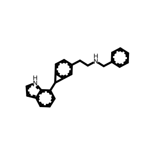 c1ccc(CNCCc2ccc3c(c2)C3c2cccc3cc[nH]c23)cc1